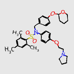 Cc1cc(C)c(S(=O)(=O)N(Cc2ccc(OC3CCCCO3)cc2)c2ccc(OCCN3CCCC3)cc2)c(C)c1